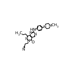 CCCc1nn(CCC#N)c(=O)c2cnc(Nc3ccc(N4CCN(C)CC4)cc3)nc12